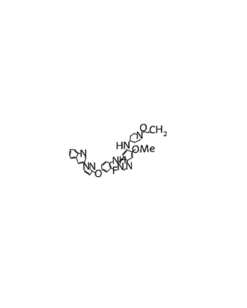 C=CC(=O)N1CCC(Nc2cc3c(Nc4ccc(Oc5ccn(-c6cnc7ccccc7c6)n5)cc4F)ncnc3cc2OC)CC1